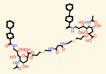 C=C(NC[C@@H](O)[C@@H](O)[C@@H]1O[C@@](OCCCSCCNC(=O)CC(=O)NCCSCCCO[C@]2(C(=O)O)C[C@H](O)[C@@H](NC(C)=O)[C@H]([C@H](O)[C@H](O)CNC(=O)c3ccc(-c4ccccc4)cc3)O2)(C(=O)O)C[C@H](O)[C@H]1NC(C)=O)c1ccc(-c2ccccc2)cc1